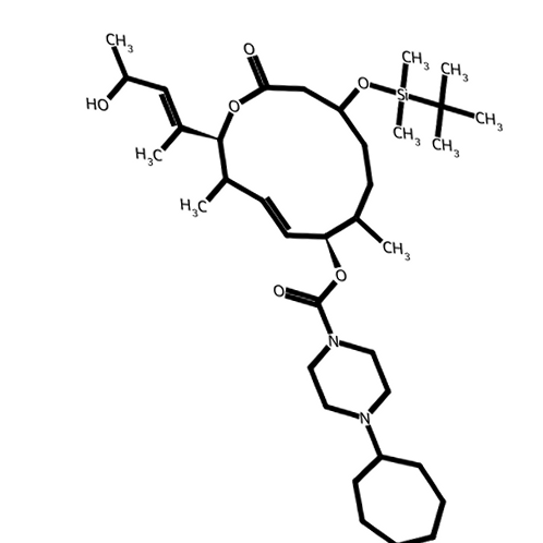 C/C(=C\C(C)O)[C@H]1OC(=O)CC(O[Si](C)(C)C(C)(C)C)CCC(C)[C@@H](OC(=O)N2CCN(C3CCCCCC3)CC2)/C=C/C1C